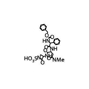 CNC(=O)CC(NC(=O)C(NC(=O)OCc1ccccc1)c1ccccc1)C(=O)NC1CN(S(=O)(=O)O)C1=O